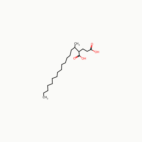 CCCCCCCCCCCCCCC(C)C(CCC(=O)O)C(=O)O